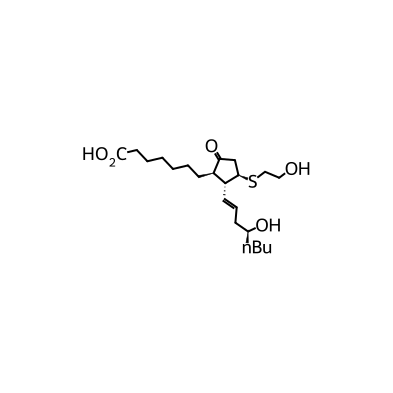 CCCC[C@H](O)CC=C[C@H]1[C@H](SCCO)CC(=O)[C@@H]1CCCCCCC(=O)O